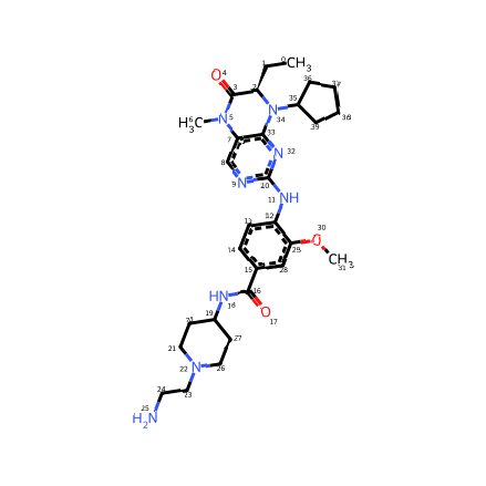 CC[C@@H]1C(=O)N(C)c2cnc(Nc3ccc(C(=O)NC4CCN(CCN)CC4)cc3OC)nc2N1C1CCCC1